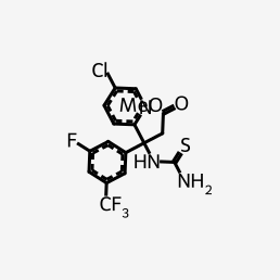 COC(=O)CC(NC(N)=S)(c1cc(F)cc(C(F)(F)F)c1)c1ccc(Cl)cn1